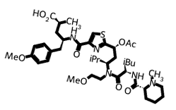 CC[C@H](C)[C@H](NC(=O)[C@H]1CCCCN1C)C(=O)N(CCOC)[C@H](C[C@@H](OC(C)=O)c1nc(C(=O)N[C@@H](Cc2ccc(OC)cc2)C[C@H](C)C(=O)O)cs1)C(C)C